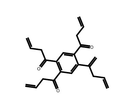 C=CCC(=C)c1cc(C(=O)CC=C)c(C(=O)CC=C)cc1C(=O)CC=C